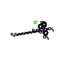 CCCCCCCCCCCCCCCC[N+](Cc1ccccc1)(C1CC(C)CCC1C(C)C)C1CC(C)CCC1C(C)C.[Cl-]